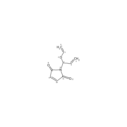 C=COC(C=C)N1C(=O)C=CC1=O